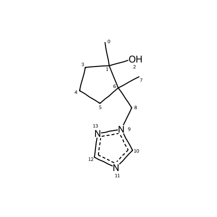 CC1(O)CCCC1(C)Cn1cncn1